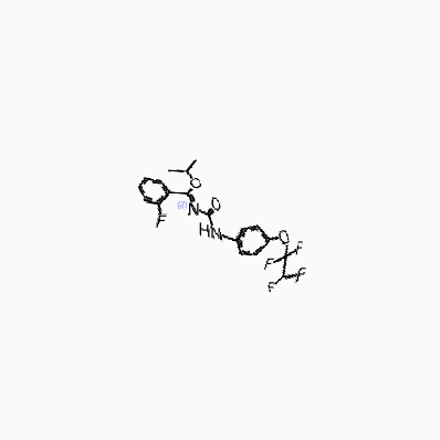 CC(C)O/C(=N\C(=O)Nc1ccc(OC(F)(F)C(F)F)cc1)c1ccccc1F